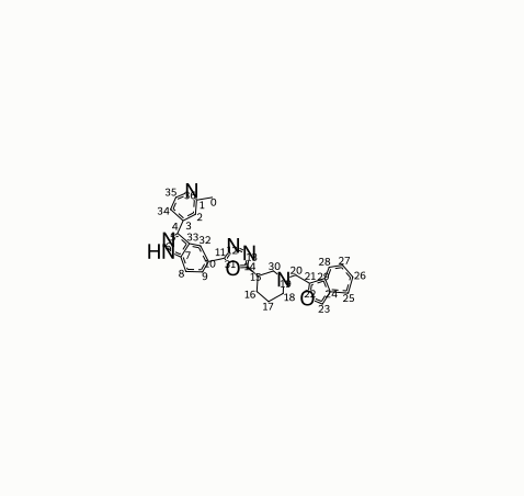 Cc1cc(-c2n[nH]c3ccc(-c4nnc([C@@H]5CCCN(Cc6occ7ccccc67)C5)o4)cc23)ccn1